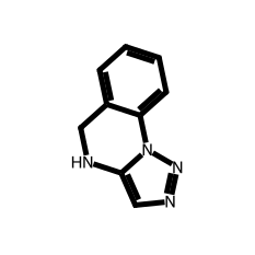 c1ccc2c(c1)CNc1cnnn1-2